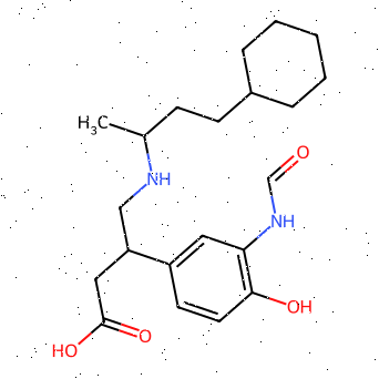 CC(CCC1CCCCC1)NCC(CC(=O)O)c1ccc(O)c(NC=O)c1